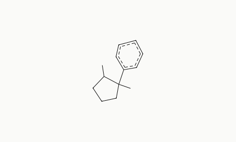 CC1CCCC1(C)c1ccccc1